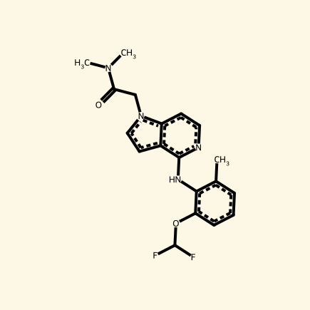 Cc1cccc(OC(F)F)c1Nc1nccc2c1ccn2CC(=O)N(C)C